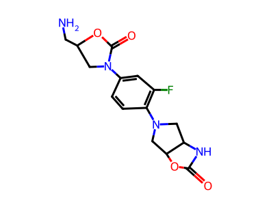 NCC1CN(c2ccc(N3CC4NC(=O)OC4C3)c(F)c2)C(=O)O1